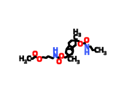 C=CC(=O)OCCCCNC(=O)OCC1(C)CC2CC(C1)C1CC(C)(COC(=O)NCCC)CCC21